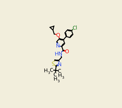 CC(C)(C)c1nc(CNC(=O)c2cc(-c3ccc(Cl)cc3)c(OCC3CC3)cn2)cs1